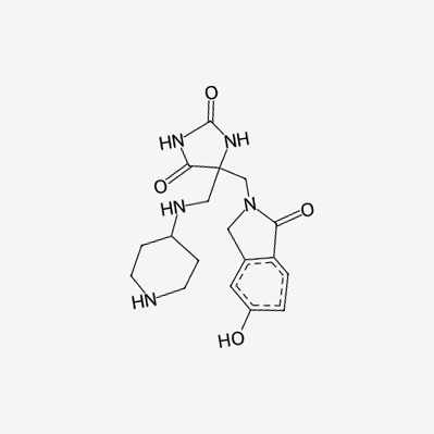 O=C1NC(=O)C(CNC2CCNCC2)(CN2Cc3cc(O)ccc3C2=O)N1